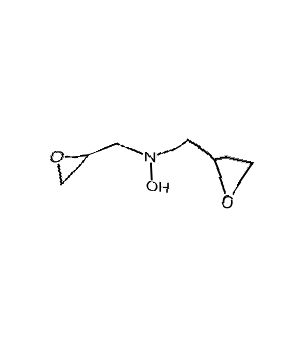 ON(CC1CO1)CC1CO1